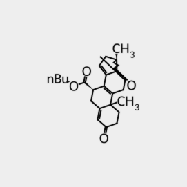 CCCCOC(=O)[C@@H]1CC2=CC(=O)CCC2(C)C2=C1C1=CC[C@@]3(C)CCC(=O)C13CC2